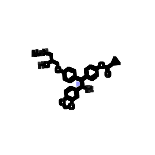 CC/C(=C(/c1ccc(OCC(O)CNC)cc1)c1ccc(OC(=O)C2CC2)cc1)c1ccc2c(c1)OCO2